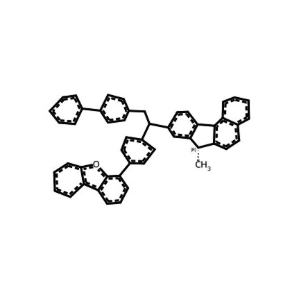 C[C@@H]1c2cc(C(Cc3ccc(-c4ccccc4)cc3)c3ccc(-c4cccc5c4oc4ccccc45)cc3)ccc2-c2c1ccc1ccccc21